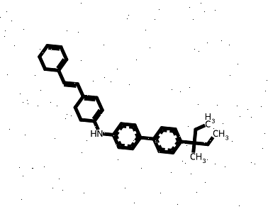 CCC(C)(CC)c1ccc(-c2ccc(NC3=CC=C(/C=C/C4=CC=CCC4)CC3)cc2)cc1